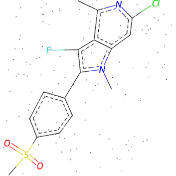 Cc1nc(Cl)cc2c1c(F)c(-c1ccc(S(C)(=O)=O)cc1)n2C